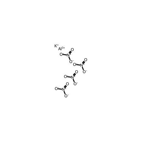 O=[N+]([O-])[O-].O=[N+]([O-])[O-].O=[N+]([O-])[O-].O=[N+]([O-])[O-].[Al+3].[K+]